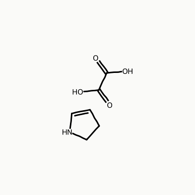 C1=CNCC1.O=C(O)C(=O)O